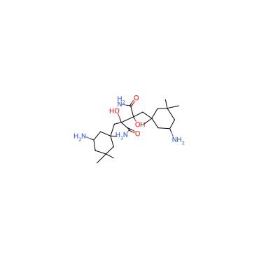 CC1(C)CC(N)CC(C)(CC(O)(C(N)=O)C(O)(CC2(C)CC(N)CC(C)(C)C2)C(N)=O)C1